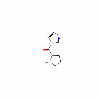 O=C(O)N1CCCC1C(=O)n1ccnc1